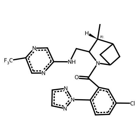 C[C@@H]1C2CC(C2)N(C(=O)c2cc(Cl)ccc2-n2nccn2)C1CNc1cnc(C(F)(F)F)cn1